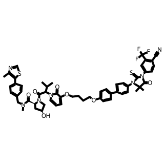 Cc1ncsc1-c1ccc(CN(C)C(=O)[C@@H]2C[C@@H](O)CN2C(=O)C(C(C)C)n2cccc(OCCCCOc3ccc(-c4ccc(N5C(=S)N(c6ccc(C#N)c(C(F)(F)F)c6)C(=O)C5(C)C)cc4)cc3)c2=O)cc1